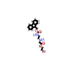 O=C(CNCCNC(=O)OCC1c2ccccc2-c2ccccc21)OCCBr